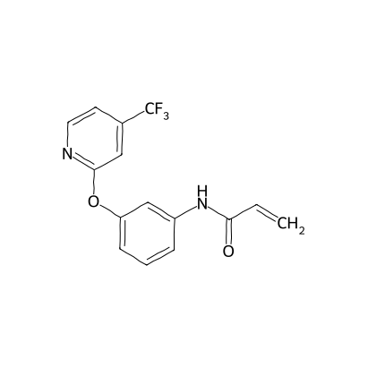 C=CC(=O)Nc1cccc(Oc2cc(C(F)(F)F)ccn2)c1